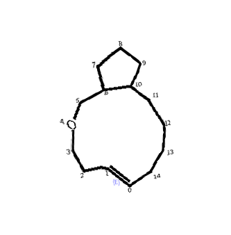 C1=C/CCOCC2CCCC2CCCC/1